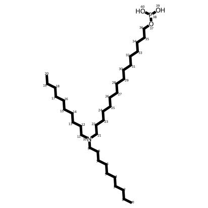 CCCCCCCCCCN(CCCCCCCCCC)CCCCCCCCCCCCCCCCOP(O)O